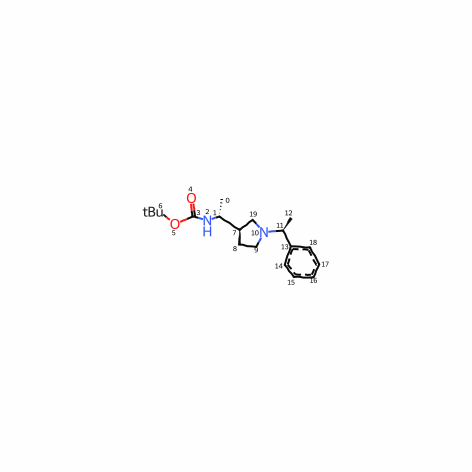 C[C@@H](NC(=O)OC(C)(C)C)[C@@H]1CCN([C@@H](C)c2ccccc2)C1